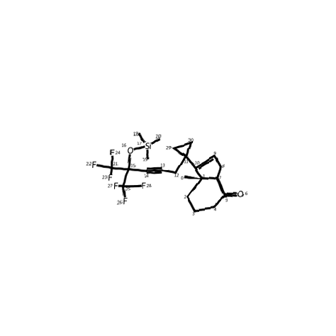 C[C@]12CCCC(=O)C1CC=C2C1(CC#CC(O[Si](C)(C)C)(C(F)(F)F)C(F)(F)F)CC1